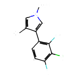 CCOC(=O)n1cc(C#N)c(-c2ccc(F)c(Cl)c2F)c1